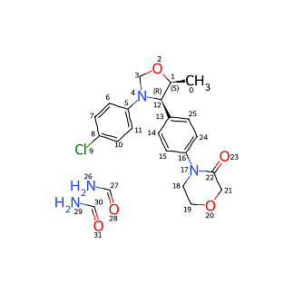 C[C@@H]1OCN(c2ccc(Cl)cc2)[C@@H]1c1ccc(N2CCOCC2=O)cc1.NC=O.NC=O